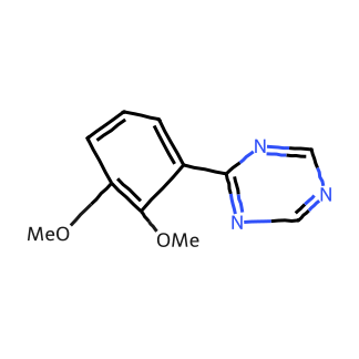 COc1cccc(-c2ncncn2)c1OC